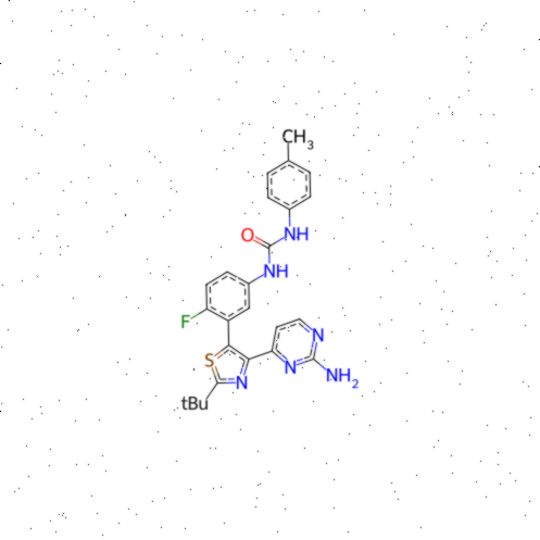 Cc1ccc(NC(=O)Nc2ccc(F)c(-c3sc(C(C)(C)C)nc3-c3ccnc(N)n3)c2)cc1